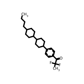 CCCCC1CCC(C2CCC(c3ccc(C(=O)C(C)(F)F)cc3)CC2)CC1